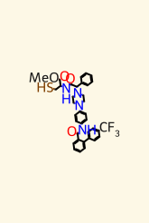 COC(=O)C(CS)NC(=O)C(c1ccccc1)N1CCN(c2ccc(NC(=O)c3ccccc3-c3ccc(C(F)(F)F)cc3)cc2)CC1